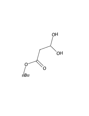 CCCCOC(=O)CC(O)O